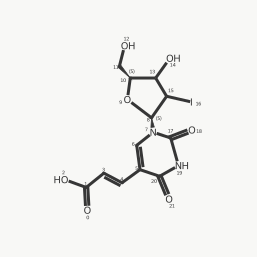 O=C(O)C=Cc1cn([C@H]2O[C@@H](CO)C(O)C2I)c(=O)[nH]c1=O